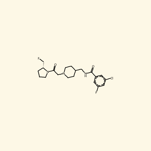 O=C(NCC1CCN(CC(=O)N2CCC[C@@H]2CF)CC1)c1cc(F)cc(Cl)c1